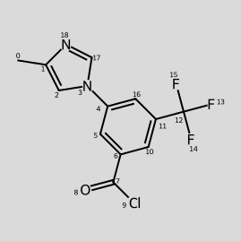 Cc1cn(-c2cc(C(=O)Cl)cc(C(F)(F)F)c2)cn1